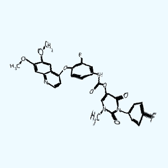 COc1cc2nccc(Oc3ccc(NC(=O)Oc4cn(C)c(=O)n(-c5ccc(F)cc5)c4=O)cc3F)c2cc1OC